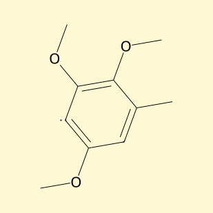 COc1[c]c(OC)c(OC)c(C)c1